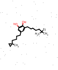 CCC(C)(C)CCCCCc1cc(CCCCC2(C)CC2)cc(O)c1O